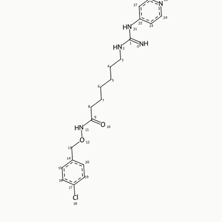 N=C(NCCCCCCC(=O)NOCc1ccc(Cl)cc1)Nc1ccncc1